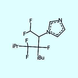 CCC(C)C(F)(C(C(F)F)n1ccnc1)C(F)(F)C(C)C